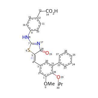 COc1cc(/C=C2/SC(Nc3ccc(CC(=O)O)cc3)=NC2=O)cc(-c2ccccc2)c1OC(C)C